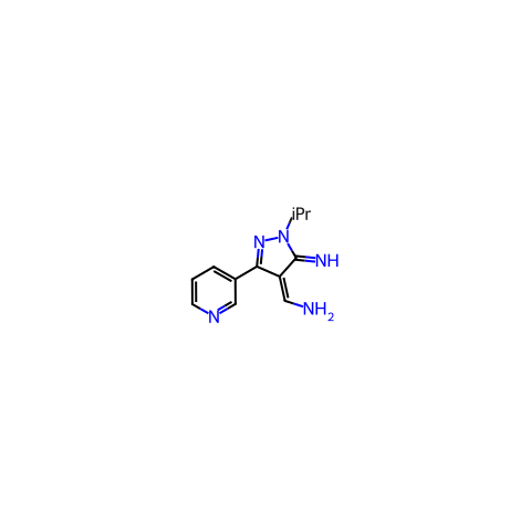 CC(C)N1N=C(c2cccnc2)/C(=C/N)C1=N